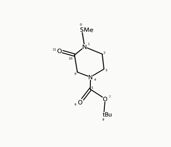 CSN1CCN(C(=O)OC(C)(C)C)CC1=O